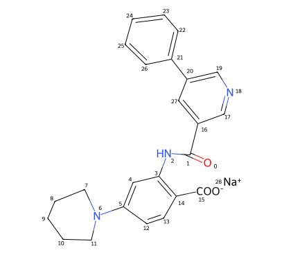 O=C(Nc1cc(N2CCCCC2)ccc1C(=O)[O-])c1cncc(-c2ccccc2)c1.[Na+]